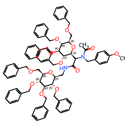 COc1ccc(CN(C(C)=O)C(C(=O)NC[C@@H]2O[C@H](COCc3ccccc3)[C@@H](OCc3ccccc3)[C@H](OCc3ccccc3)[C@H]2OCc2ccccc2)[C@@H]2O[C@H](COCc3ccccc3)[C@@H](OCc3ccccc3)[C@H](OCc3ccccc3)[C@H]2OCc2ccccc2)cc1